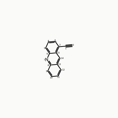 [C]#Cc1[c]ccc2nc3ccccc3cc12